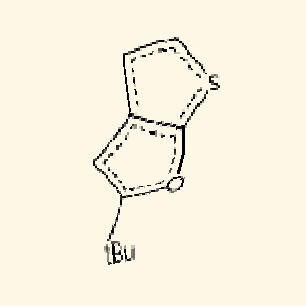 CC(C)(C)c1cc2ccsc2o1